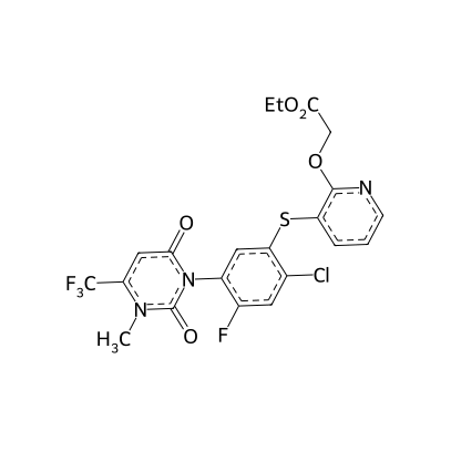 CCOC(=O)COc1ncccc1Sc1cc(-n2c(=O)cc(C(F)(F)F)n(C)c2=O)c(F)cc1Cl